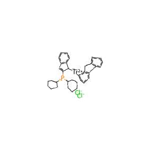 C1=C(P(C2CCCCC2)C2CCCCC2)[CH]([Ti+2][c]2cccc3c2Cc2ccccc2-3)c2ccccc21.[Cl-].[Cl-]